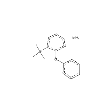 C[N+](C)(C)c1ccccc1Oc1ccccc1.[SnH4]